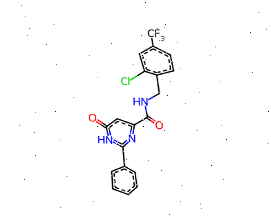 O=C(NCc1ccc(C(F)(F)F)cc1Cl)c1cc(=O)[nH]c(-c2ccccc2)n1